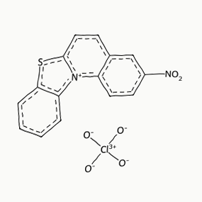 O=[N+]([O-])c1ccc2c(ccc3sc4ccccc4[n+]32)c1.[O-][Cl+3]([O-])([O-])[O-]